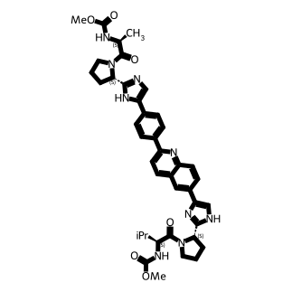 COC(=O)N[C@@H](C)C(=O)N1CCC[C@H]1c1ncc(-c2ccc(-c3ccc4cc(-c5c[nH]c([C@@H]6CCCN6C(=O)[C@@H](NC(=O)OC)C(C)C)n5)ccc4n3)cc2)[nH]1